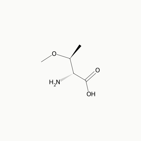 CO[C@@H](C)[C@@H](N)C(=O)O